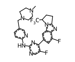 CN1CCN(Cc2ccc(Nc3ncc(F)c(-c4cc(F)c5nc6n(c5c4)C(C(F)(F)F)CC6)n3)nc2)CC1